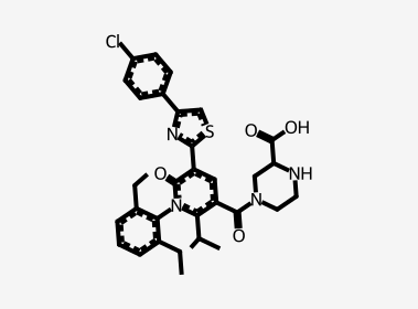 CCc1cccc(CC)c1-n1c(C(C)C)c(C(=O)N2CCNC(C(=O)O)C2)cc(-c2nc(-c3ccc(Cl)cc3)cs2)c1=O